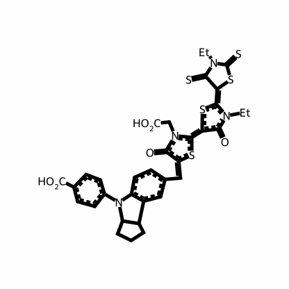 CCN1C(=S)S/C(=c2/s/c(=c3/s/c(=C/c4ccc5c(c4)C4CCCC4N5c4ccc(C(=O)O)cc4)c(=O)n3CC(=O)O)c(=O)n2CC)C1=S